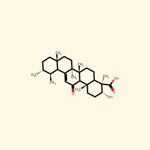 C[C@@H]1CC[C@]2(C)CC[C@]3(C)C(=CC(=O)C4[C@@]5(C)CC[C@@H](O)[C@](C)(C(=O)O)C5CC[C@]43C)C2[C@H]1C